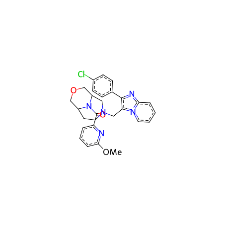 COc1cccc(C(=O)N2C3CCN(Cc4c(-c5ccc(Cl)cc5)nc5ccccn45)CC2COC3)n1